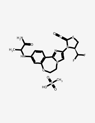 CC(Nc1ccc2c(c1)OCCn1cc(N3C(=C=O)SC[C@H]3C(F)F)nc1-2)C(N)=O.CS(=O)(=O)O